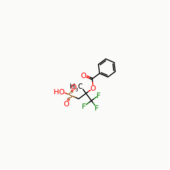 CC(CS(=O)(=O)O)(OC(=O)c1ccccc1)C(F)(F)F